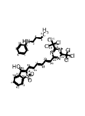 CCCCNc1ccccc1.O=S1(=O)C(C=CC=CC=Cc2nc(C(Cl)(Cl)Cl)nc(C(Cl)(Cl)Cl)n2)=C(O)c2ccccc21